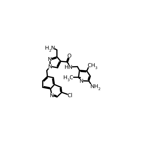 Cc1cc(N)nc(C)c1CNC(=O)c1cn(Cc2ccc3ncc(Cl)cc3c2)nc1CN